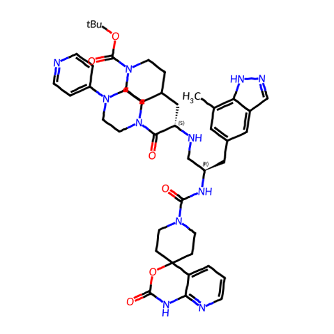 Cc1cc(C[C@H](CN[C@@H](CC2CCN(C(=O)OC(C)(C)C)CC2)C(=O)N2CCN(c3ccncc3)CC2)NC(=O)N2CCC3(CC2)OC(=O)Nc2ncccc23)cc2cn[nH]c12